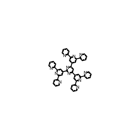 c1ccc(-c2cc(-c3cc(-c4cc(-c5ccccn5)nc(-c5ccccn5)c4)nc(-c4cc(-c5ccccn5)nc(-c5ccccn5)c4)n3)cc(-c3ccccn3)n2)nc1